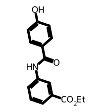 CCOC(=O)c1cccc(NC(=O)c2ccc(O)cc2)c1